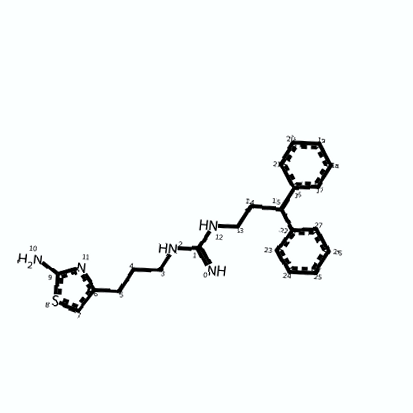 N=C(NCCCc1csc(N)n1)NCCC(c1ccccc1)c1ccccc1